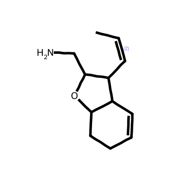 C/C=C\C1C(CN)OC2CCC=CC21